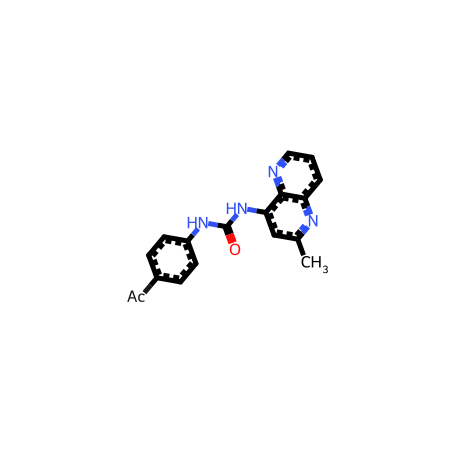 CC(=O)c1ccc(NC(=O)Nc2cc(C)nc3cccnc23)cc1